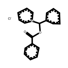 O=C(OC(c1ccccc1)[n+]1ccccc1)c1ccccc1.[Cl-]